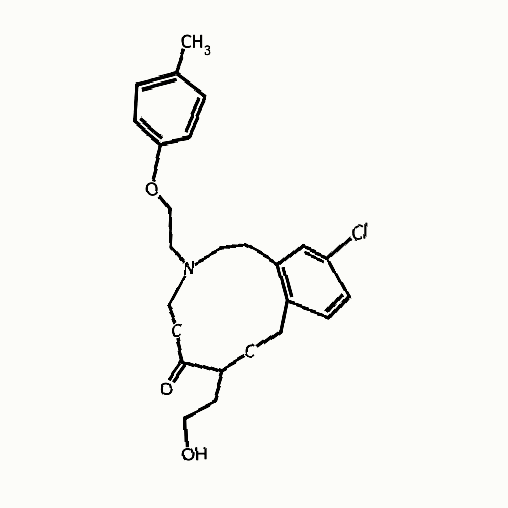 Cc1ccc(OCCN2CCC(=O)C(CCO)CCc3ccc(Cl)cc3CC2)cc1